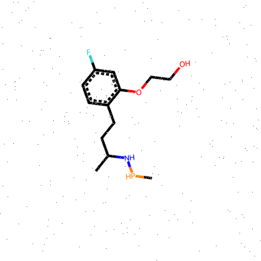 CPNC(C)CCc1ccc(F)cc1OCCO